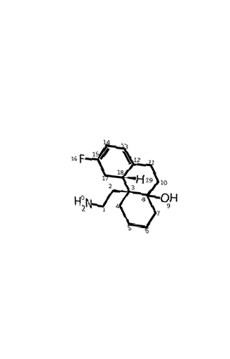 NCC[C@]12CCCCC1(O)CCC1=CC=C(F)C[C@H]12